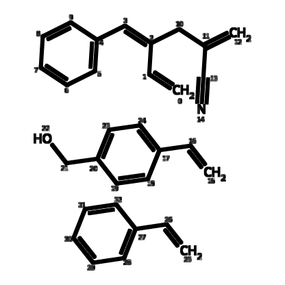 C=CC(=Cc1ccccc1)CC(=C)C#N.C=Cc1ccc(CO)cc1.C=Cc1ccccc1